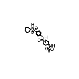 CC(C)S(=O)(=O)NC1CCN(C(=O)Nc2ccc(S(=O)(=O)NC3CCCCC3)cc2)CC1